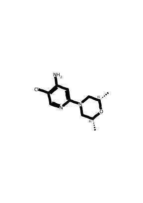 C[C@@H]1CN(c2cc(N)c(Cl)cn2)C[C@H](C)O1